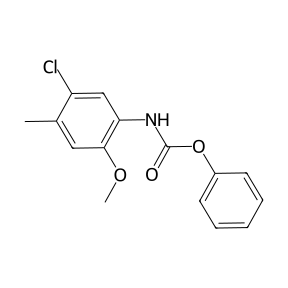 COc1cc(C)c(Cl)cc1NC(=O)Oc1ccccc1